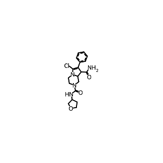 NC(=O)C1C(c2ccccc2)=C(Cl)N2CCN(C(=O)NC3CCOC3)CC12